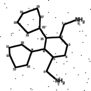 NCC1CCC(CN)C(C2CCCCC2)C1C1CCCCC1